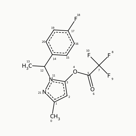 Cc1cc(OC(=O)C(F)(F)F)n(C(C)c2ccc(F)cc2)n1